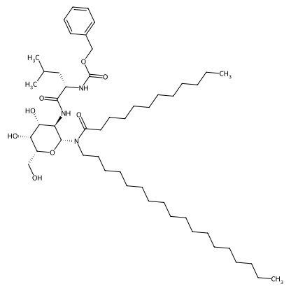 CCCCCCCCCCCCCCCCCCN(C(=O)CCCCCCCCCCC)[C@@H]1O[C@H](CO)[C@H](O)[C@H](O)[C@H]1NC(=O)[C@H](CC(C)C)NC(=O)OCc1ccccc1